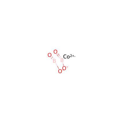 O=B[O-].O=B[O-].[Co+2]